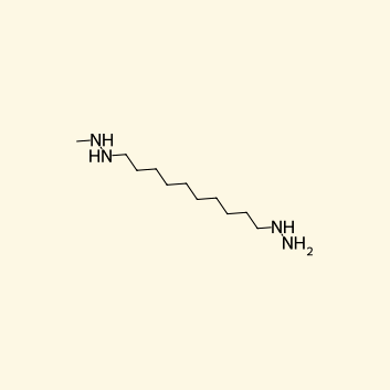 CNNCCCCCCCCCCNN